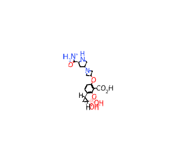 [NH3+]C(=O)[C@@H]1C[C@@H](N2CC(Oc3ccc4c(c3C(=O)O)O[B-](O)(O)[C@@H]3C[C@H]43)C2)CN1